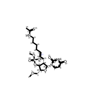 COC[C@H]1O[C@@H](n2ccc(=O)[nH]c2=O)[C@@H](C/C=C/CCCCNC(C)=S)C1OP(=O)(O)OC